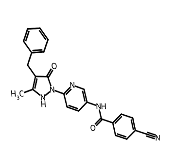 Cc1[nH]n(-c2ccc(NC(=O)c3ccc(C#N)cc3)cn2)c(=O)c1Cc1ccccc1